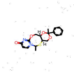 CC1S[C@@H]2COC(C)(c3ccccc3)O[C@H]2COc2nc(=O)ccn21